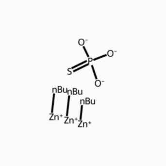 CCC[CH2][Zn+].CCC[CH2][Zn+].CCC[CH2][Zn+].[O-]P([O-])([O-])=S